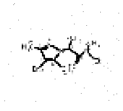 CCN(C)C(=O)C(C)n1nc(C)c(Br)c1C